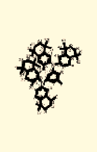 Cc1cc(N(c2ccc3c(c2)C(C)CCC3(C)C)c2cc3c(cc2C)C(C)(C)CCC3(C)C)cc(N(c2ccc3c(c2)C(C)(C)CCC3(C)C)c2cc3c(cc2C)C(C)(C)CCC3(C)C)c1